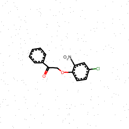 O=C(COc1ccc(Cl)cc1[N+](=O)[O-])c1ccccc1